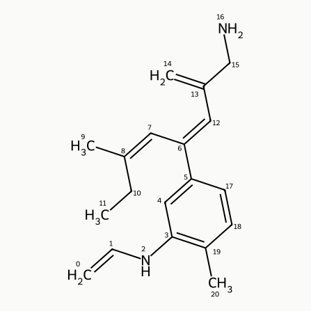 C=CNc1cc(C(/C=C(/C)CC)=C/C(=C)CN)ccc1C